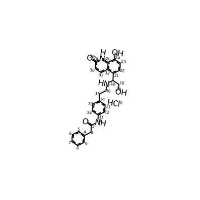 Cl.O=C(Cc1ccccc1)Nc1ccc(CCNC(CO)c2ccc(O)c3[nH]c(=O)ccc23)cc1